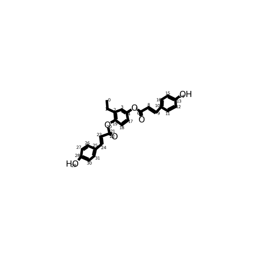 CCc1cc(OC(=O)/C=C/c2ccc(O)cc2)ccc1OC(=O)/C=C/c1ccc(O)cc1